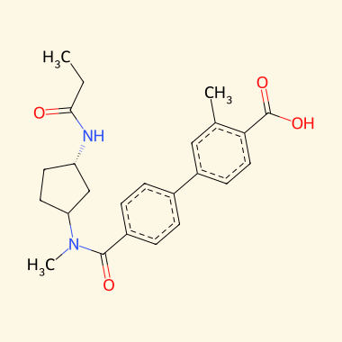 CCC(=O)N[C@H]1CCC(N(C)C(=O)c2ccc(-c3ccc(C(=O)O)c(C)c3)cc2)C1